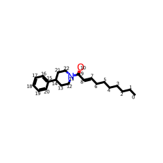 CCCCCCCC=CC(=O)N1CCC(c2ccccc2)CC1